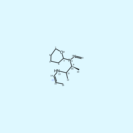 C=NN(C1CCCCO1)[C@@H](C)C(C)N/C=C\C